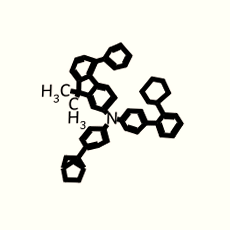 CC1(C)c2cc(N(c3ccc(-c4ccccc4C4CCCCC4)cc3)c3ccc(C4CC5CCC4C5)cc3)ccc2-c2c(-c3ccccc3)cccc21